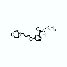 CCNC(=O)c1cccc(OCCCN2CCOCC2)c1